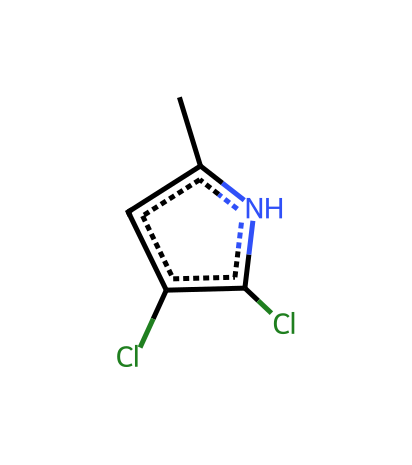 Cc1cc(Cl)c(Cl)[nH]1